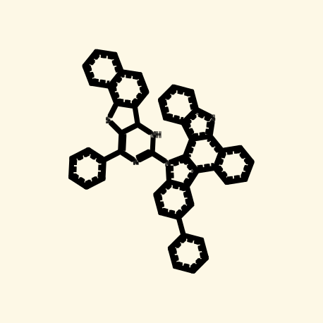 c1ccc(C2=C3Sc4c(ccc5ccccc45)C3NC(n3c4ccc(-c5ccccc5)cc4c4c5ccccc5c5sc6ccccc6c5c43)=N2)cc1